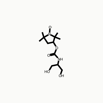 CC1(C)CC(OC(=O)NC(CO)CO)C(C)(C)N1[O]